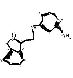 Nc1cc(OCC2NCc3ccccc32)ccn1